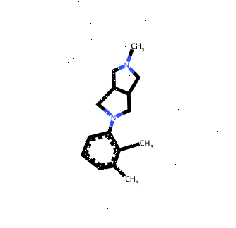 Cc1cccc(N2CC3CN(C)CC3C2)c1C